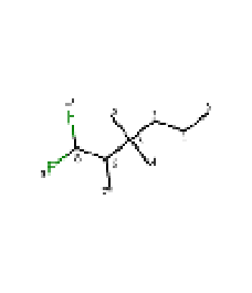 CCCC(C)(C)C(C)C(F)F